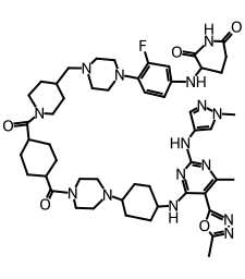 Cc1nnc(-c2c(C)nc(Nc3cnn(C)c3)nc2NC2CCC(N3CCN(C(=O)C4CCC(C(=O)N5CCC(CN6CCN(c7ccc(NC8CCC(=O)NC8=O)cc7F)CC6)CC5)CC4)CC3)CC2)o1